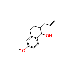 C=CCC1CCc2cc(OC)ccc2C1O